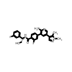 Cc1c(-c2cnc(N)c(-c3ccc(C(=O)N[C@H](CO)c4cccc(F)c4)c(F)c3)c2)cnn1C